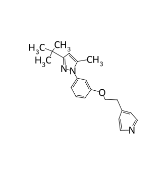 Cc1cc(C(C)(C)C)nn1-c1cccc(OCCc2ccncc2)c1